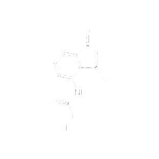 [2H]CC(=O)Nc1cccc2c1C(=O)OC2=O